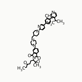 CCC(=O)CCC(C(C)=O)N1C(=O)c2ccc(N3CCN(CC4CCN(c5ccc(-c6ccc(-c7cnccc7C(C)C)c(C)c6)cn5)CC4)CC3)cc2C1=O